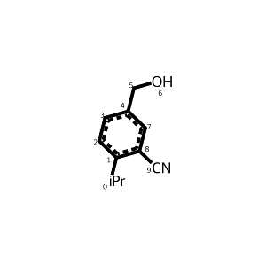 CC(C)c1ccc([CH]O)cc1C#N